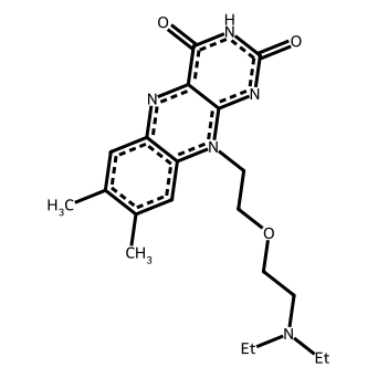 CCN(CC)CCOCCn1c2nc(=O)[nH]c(=O)c-2nc2cc(C)c(C)cc21